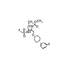 COC(=O)N1[C@H](C)C[C@H](NS(=O)(=O)CF)[C@@H]1CO[C@H]1CC[C@@H](c2cccc(F)c2)CC1